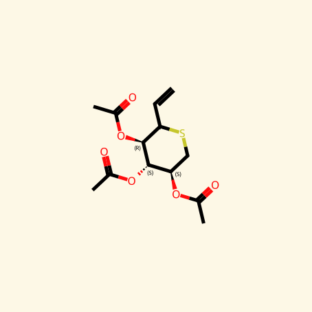 C=C[C]1SC[C@@H](OC(C)=O)[C@H](OC(C)=O)[C@H]1OC(C)=O